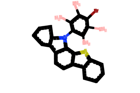 Bc1c(B)c(-n2c3ccccc3c3ccc4c5ccccc5sc4c32)c(B)c(B)c1Br